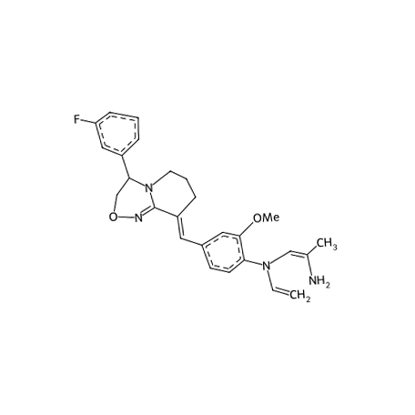 C=CN(/C=C(/C)N)c1ccc(/C=C2\CCCN3C2=NOCC3c2cccc(F)c2)cc1OC